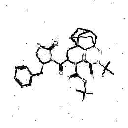 CC(C)(C)OC(=O)NN(C(=O)OC(C)(C)C)C(CC12CC3CC1C[C@H](C3)C2)C(=O)N1C(=O)OC[C@@H]1Cc1ccccc1